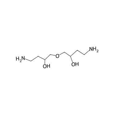 NCCC(O)COCC(O)CCN